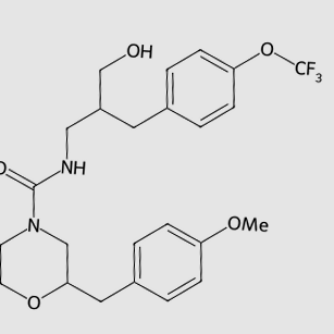 COc1ccc(CC2CN(C(=O)NCC(CO)Cc3ccc(OC(F)(F)F)cc3)CCO2)cc1